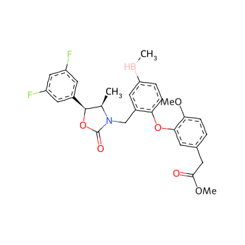 CBc1ccc(Oc2cc(CC(=O)OC)ccc2OC)c(CN2C(=O)O[C@@H](c3cc(F)cc(F)c3)[C@H]2C)c1